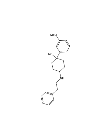 COc1cccc(C2(C#N)CCC(NCCc3ccccc3)CC2)c1